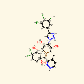 Cc1ccnnc1C([SH]1C[C@H](O)[C@H](n2cc(-c3cc(F)c(F)c(F)c3)nn2)[C@@H](O)[C@H]1CO)C1(O)CCC(F)(F)CC1